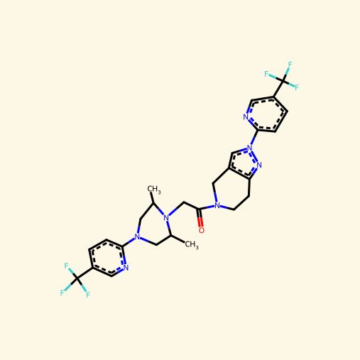 CC1CN(c2ccc(C(F)(F)F)cn2)CC(C)N1CC(=O)N1CCc2nn(-c3ccc(C(F)(F)F)cn3)cc2C1